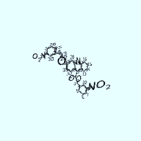 O=C(OCc1cccc([N+](=O)[O-])c1)c1c2ccccc2nc2cc(OCc3cccc([N+](=O)[O-])c3)ccc12